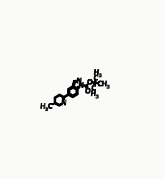 C[C@H]1CCC(c2ccc3c(cnn3C(=O)OC(C)(C)C)c2)=NC1